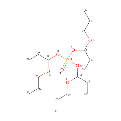 CCCOC(CC)OP(=O)(OC(CC)OCCC)OC(CC)OCCC